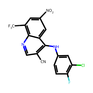 N#Cc1cnc2c(C(F)(F)F)cc([N+](=O)[O-])cc2c1Nc1ccc(F)c(Cl)c1